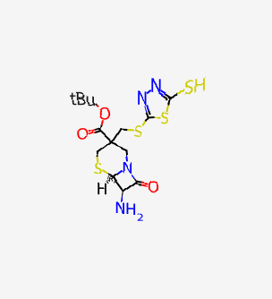 CC(C)(C)OC(=O)C1(CSc2nnc(S)s2)CS[C@@H]2C(N)C(=O)N2C1